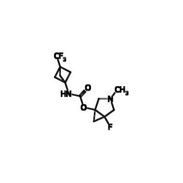 CN1CC2(F)CC2(OC(=O)NC23CC(C(F)(F)F)(C2)C3)C1